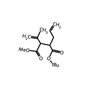 C=CCC(C(=O)OC(C)(C)C)C(C(=C)C)C(=O)OC